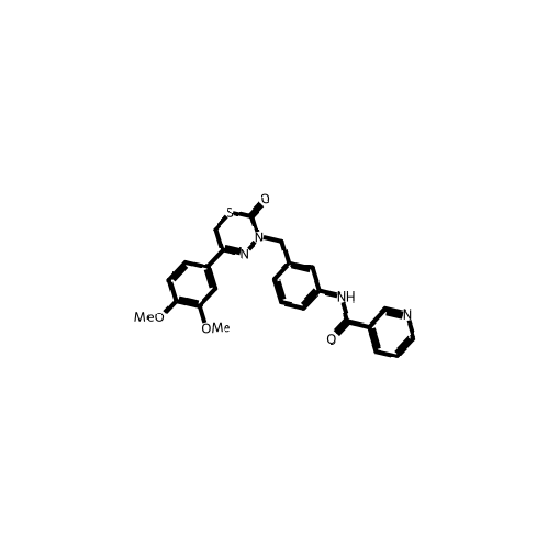 COc1ccc(C2=NN(Cc3cccc(NC(=O)c4cccnc4)c3)C(=O)SC2)cc1OC